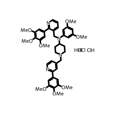 COc1cc(OC)cc(N(Cc2cccnc2-c2cc(OC)c(OC)c(OC)c2)C2CCN(Cc3ccnc(-c4cc(OC)c(OC)c(OC)c4)c3)CC2)c1.Cl.Cl.Cl